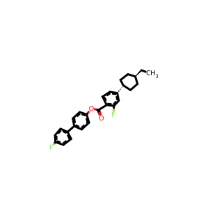 CC[C@H]1CC[C@H](c2ccc(C(=O)Oc3ccc(-c4ccc(F)cc4)cc3)c(F)c2)CC1